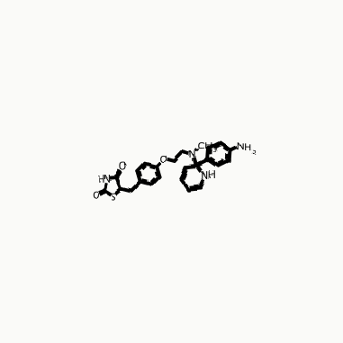 CN(CCOc1ccc(CC2SC(=O)NC2=O)cc1)C1(c2ccc(N)cc2)C=CC=CN1